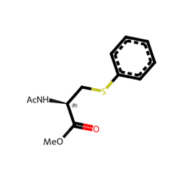 COC(=O)[C@H](CSc1ccccc1)NC(C)=O